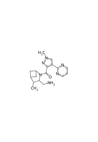 CC1C2CC(C2)N(C(=O)c2nn(C)cc2-c2ncccn2)C1CN